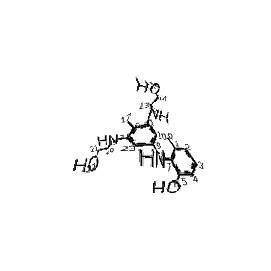 Cc1cccc(O)c1Nc1cc(NCCO)c(C)c(NCCO)c1